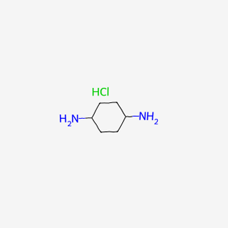 Cl.NC1CCC(N)CC1